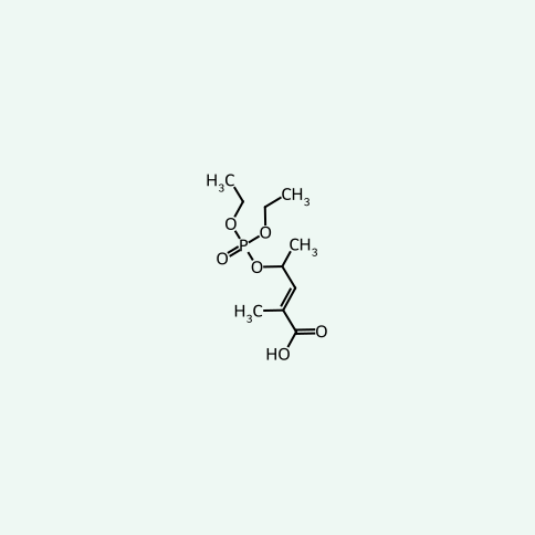 CCOP(=O)(OCC)OC(C)/C=C(\C)C(=O)O